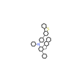 c1ccc(-c2ccc(N(c3ccccc3)c3ccc(-c4ccc5sc6ccccc6c5c4)cc3)c3c2Cc2cc4ccccc4cc2-3)cc1